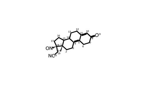 C[C@]12CCC3=C4CCC(=O)C=C4CCC3C1CC[C@]2(CC#N)N=O